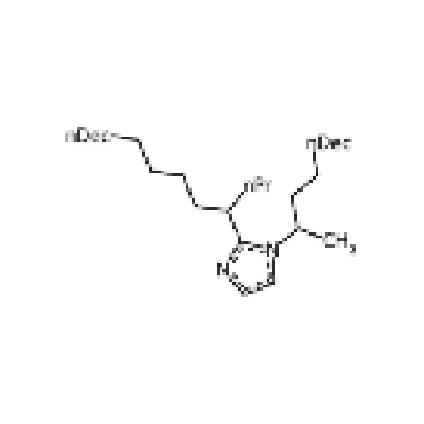 CCCCCCCCCCCCCCC(CCC)c1nccn1C(C)CCCCCCCCCCCC